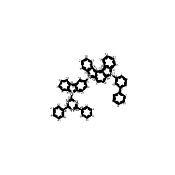 c1ccc(-c2cccc(-n3c4ccccc4c4c5c6ccccc6n(-c6ccc7c(c6)c6ccccc6n7-c6nc(-c7ccccc7)nc(-c7ccccc7)n6)c5ccc43)c2)cc1